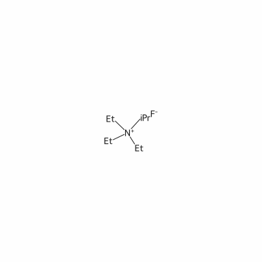 CC[N+](CC)(CC)C(C)C.[F-]